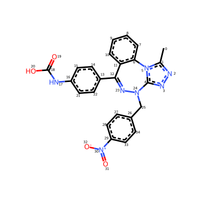 Cc1nnc2n1-c1ccccc1C(c1ccc(NC(=O)O)cc1)=NN2Cc1ccc([N+](=O)[O-])cc1